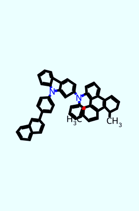 CC1C=Cc2c3c(c4cccc(N(c5ccccc5)c5ccc6c7ccccc7n(-c7ccc(-c8ccc9ccccc9c8)cc7)c6c5)c4c2C1)C=CCC3C